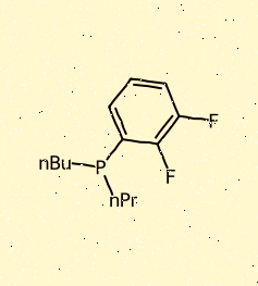 CCCCP(CCC)c1cccc(F)c1F